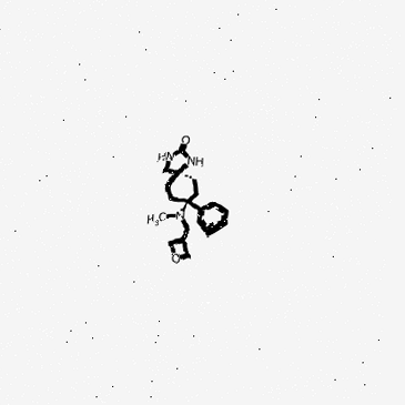 CN(CC1COC1)[C@]1(c2ccccc2)CC[C@]2(CC1)CNC(=O)N2